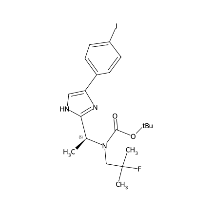 C[C@@H](c1nc(-c2ccc(I)cc2)c[nH]1)N(CC(C)(C)F)C(=O)OC(C)(C)C